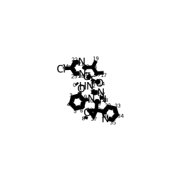 COc1cccc(OC)c1-n1c(NS(=O)(=O)C(C)C(C)c2ncc(Cl)cn2)nnc1C1(c2ccccn2)CC1